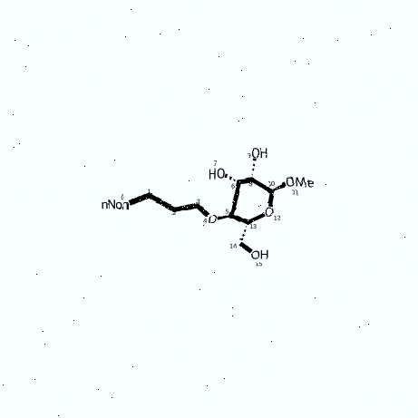 CCCCCCCCCCCCO[C@H]1[C@H](O)[C@H](O)[C@@H](OC)O[C@@H]1CO